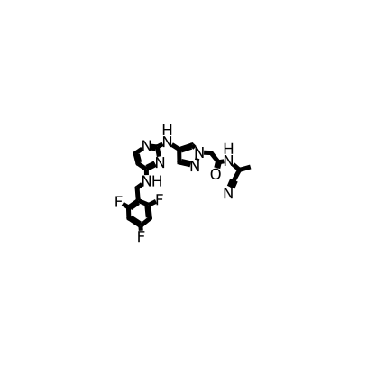 CC(C#N)NC(=O)Cn1cc(Nc2nccc(NCc3c(F)cc(F)cc3F)n2)cn1